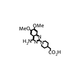 COc1cc2nc(N3CCC(CC(=O)O)CC3)nc(N)c2cc1OC